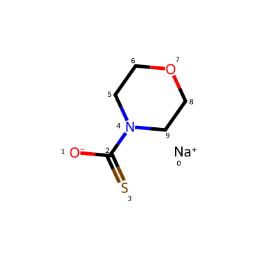 [Na+].[O-]C(=S)N1CCOCC1